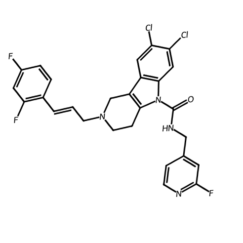 O=C(NCc1ccnc(F)c1)n1c2c(c3cc(Cl)c(Cl)cc31)CN(C/C=C/c1ccc(F)cc1F)CC2